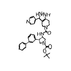 CC(C)(C)OC(=O)N1CC(NC(=O)N2CCC3=C(C2)C(c2ccncc2)NN3)[C@H](c2cccc(-c3ccccc3)c2)C1